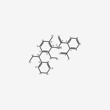 C=C(C)c1ccccc1C(=C)Nc1c(C)ccc(C(CC)C2=CCCC=C2)c1CC